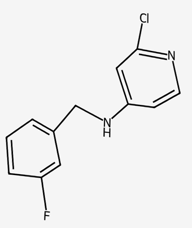 Fc1cccc(CNc2ccnc(Cl)c2)c1